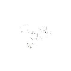 Cc1nc(-c2ccnn2BI)n2nc(N3CC(C)CCC(C)C3)cc(-c3ccnn3C)c12